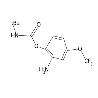 CC(C)(C)NC(=O)Oc1ccc(OC(F)(F)F)cc1N